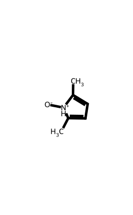 CC1=CC=C(C)[NH+]1[O-]